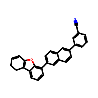 N#Cc1cccc(-c2ccc3cc(-c4cccc5c6c(oc45)C=CCC6)ccc3c2)c1